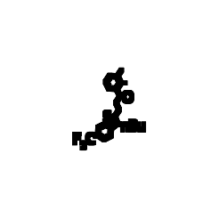 CCCCc1c(CCC(=O)c2[c]c(C)ccc2)sc2cc(C(F)(F)F)ccc12